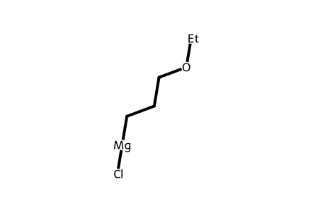 CCOCC[CH2][Mg][Cl]